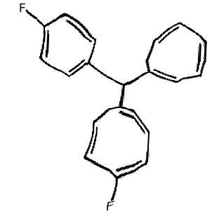 Fc1ccc(C(c2ccccc2)c2ccc(F)cc2)cc1